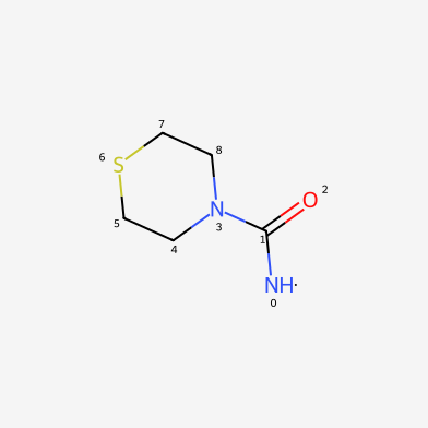 [NH]C(=O)N1CCSCC1